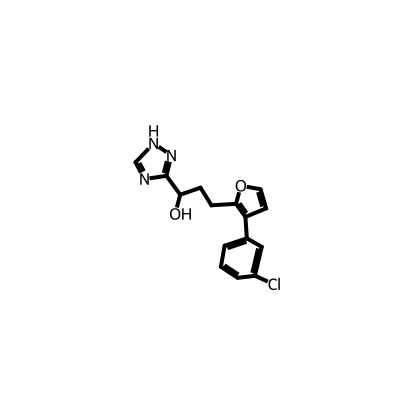 OC(CCc1occc1-c1cccc(Cl)c1)c1nc[nH]n1